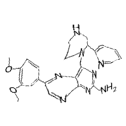 COc1ccc(-c2cnc3nc(N)nc(N4CCNCC4c4ccccn4)c3n2)cc1OC